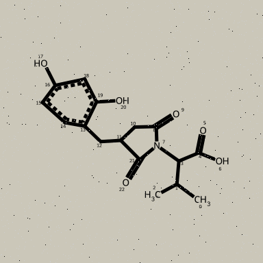 CC(C)C(C(=O)O)N1C(=O)CC(Cc2ccc(O)cc2O)C1=O